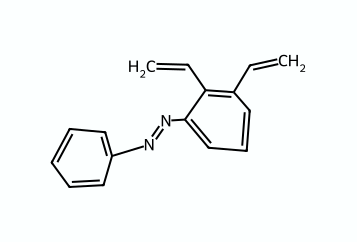 C=Cc1cccc(N=Nc2ccccc2)c1C=C